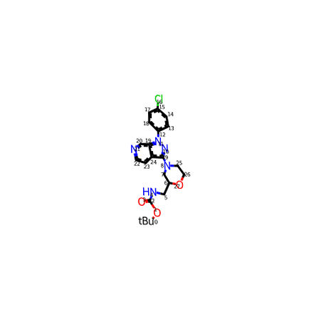 CC(C)(C)OC(=O)NCC1CN(c2nn(-c3ccc(Cl)cc3)c3cnccc23)CCO1